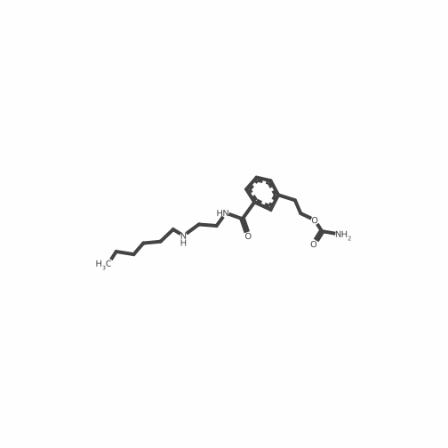 CCCCCCNCCNC(=O)c1cccc(CCOC(N)=O)c1